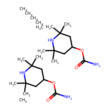 C.C.C.C.C.C.CC1(C)CC(OC(N)=O)CC(C)(C)N1.CC1(C)CC(OC(N)=O)CC(C)(C)N1